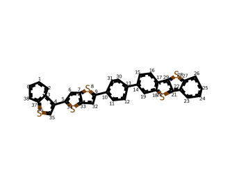 c1ccc2c(-c3cc4sc(-c5ccc(-c6ccc7c(c6)sc6c8ccccc8sc76)cc5)cc4s3)csc2c1